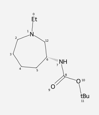 CCN1CCCC[C@@H](NC(=O)OC(C)(C)C)C1